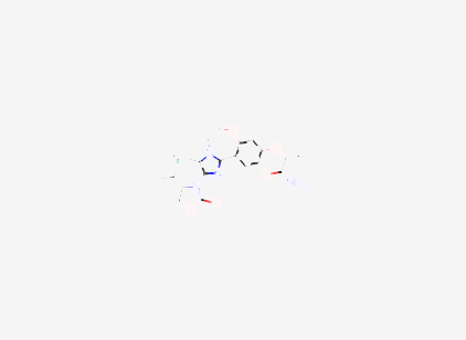 C[C@H](Oc1ccc2c(c1)OCCn1c-2nc(N2C(=O)OC[C@H]2C(F)F)c1C#N)C(N)=O